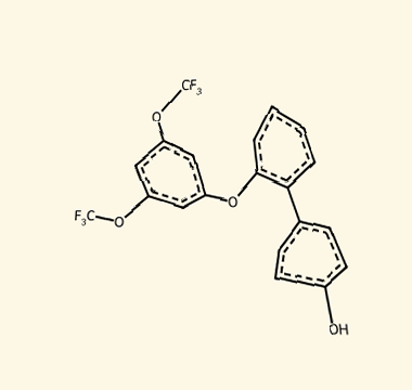 Oc1ccc(-c2ccccc2Oc2cc(OC(F)(F)F)cc(OC(F)(F)F)c2)cc1